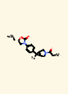 CC(=O)NC[C@H]1CN(c2ccc(C3(C#N)C4CN(C(=O)COC(C)=O)CC43)cc2)C(=O)O1